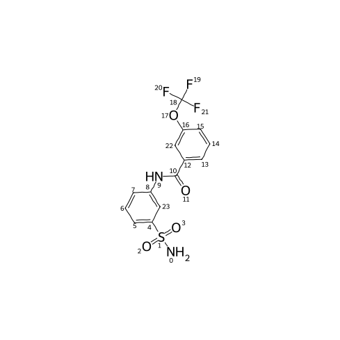 NS(=O)(=O)c1cccc(NC(=O)c2cccc(OC(F)(F)F)c2)c1